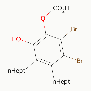 CCCCCCCc1c(O)c(OC(=O)O)c(Br)c(Br)c1CCCCCCC